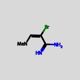 CN/C=C(/Br)C(=N)N